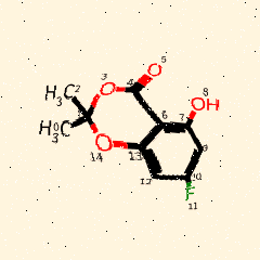 CC1(C)OC(=O)c2c(O)cc(F)cc2O1